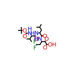 CC(C)CC(NC(=O)[C@@H](NC(=O)OC(C)(C)C)C(C)C)C(=O)NC(CC(F)F)C(=O)C(=O)O